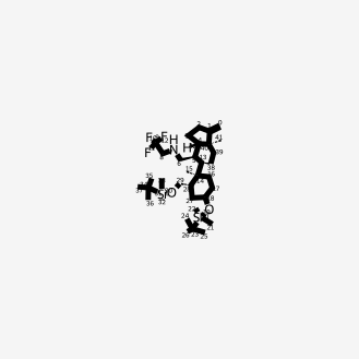 C=C1CC[C@H]2[C@H](CNCC(F)(F)F)[C@@H]([C@@]3(C)CCC(O[Si](C)(C)C(C)(C)C)C[C@@H]3CO[Si](C)(C)C(C)(C)C)CC[C@]12C